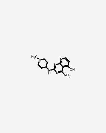 CN1CCC(Nc2nc(N)c3c(O)ccnc3n2)CC1